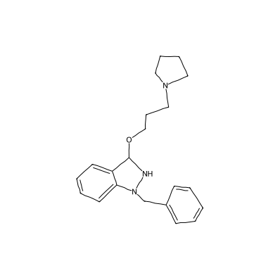 c1ccc(CN2NC(OCCCN3CCCC3)c3ccccc32)cc1